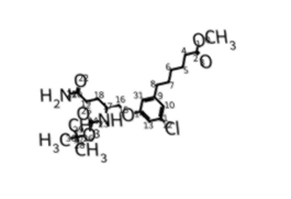 COC(=O)CCCCCc1cc(Cl)cc(OC[C@H](CCC(N)=O)NC(=O)OC(C)(C)C)c1